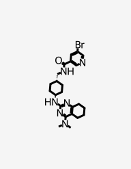 CN(C)c1nc(N[C@H]2CC[C@@H](CNC(=O)c3cncc(Br)c3)CC2)nc2c1CCCC2